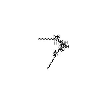 CCCCCCCCCCCC(=O)NC(CCC(=O)OC(C(=O)O)C(OC(=O)CCC(NC(=O)CCCCCCCCCCC)C(C)=O)C(=O)O)C(C)=O